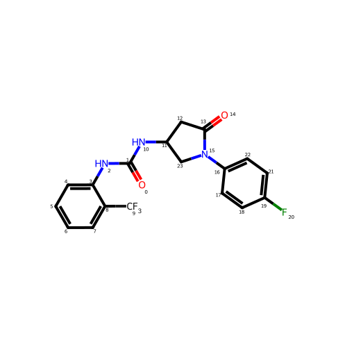 O=C(Nc1ccccc1C(F)(F)F)NC1CC(=O)N(c2ccc(F)cc2)C1